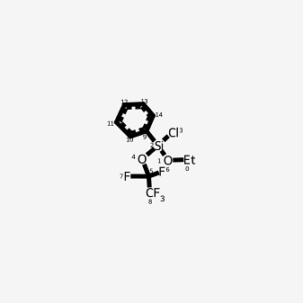 CCO[Si](Cl)(OC(F)(F)C(F)(F)F)c1ccccc1